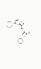 CC(F)c1nn([C@H]2CC[C@H](CO)CC2)cc1NC(=O)c1cnn2ccc(N3CCCOCC3)nc12